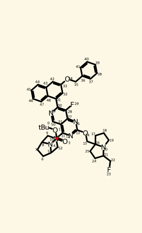 CC(C)(C)OC(=O)N1C2CCC1CN(c1nc(OCC34CCCN3C(CF)CC4)nc3c(F)c(-c4cc(OCc5ccccc5)cc5ccccc45)ncc13)C2